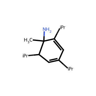 CC(C)C1=CC(C(C)C)C(C)(N)C(C(C)C)=C1